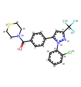 O=C(c1ccc(-c2cc(C(F)(F)F)nn2-c2ccccc2Cl)cc1)N1CCSCC1